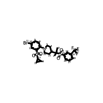 CC(C)(C1CCN(c2ccc(Br)cc2S(=O)(=O)C2CC2)CC1)S(=O)(=O)c1cccc(C(F)(F)F)c1